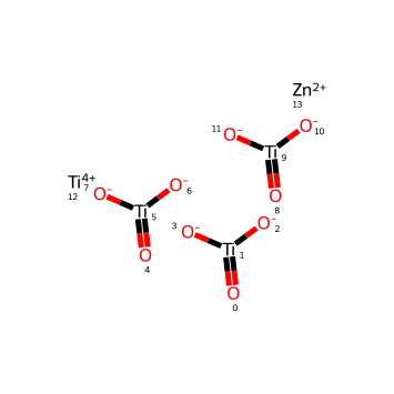 [O]=[Ti]([O-])[O-].[O]=[Ti]([O-])[O-].[O]=[Ti]([O-])[O-].[Ti+4].[Zn+2]